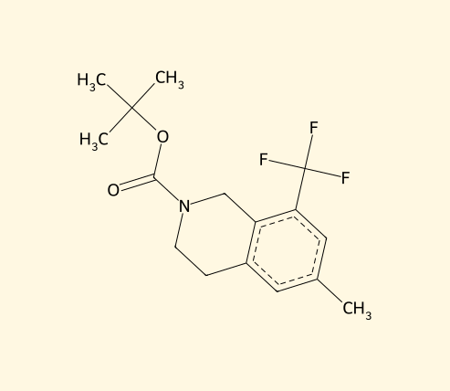 Cc1cc2c(c(C(F)(F)F)c1)CN(C(=O)OC(C)(C)C)CC2